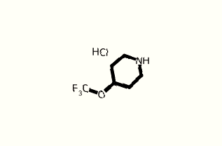 Cl.FC(F)(F)OC1CCNCC1